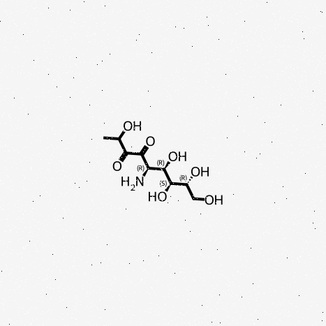 CC(O)C(=O)C(=O)[C@H](N)[C@@H](O)[C@H](O)[C@H](O)CO